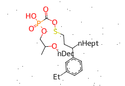 CCCCCCCCCCOC(C)COP(=O)(O)C(=O)OSCCC(CCCCCCC)c1cccc(CC)c1